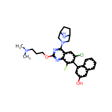 CN(C)CCCOc1nc(N2CC3CCC(C2)N3)c2cc(Cl)c(-c3cc(O)cc4ccccc34)c(F)c2n1